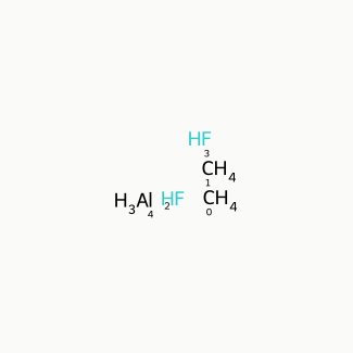 C.C.F.F.[AlH3]